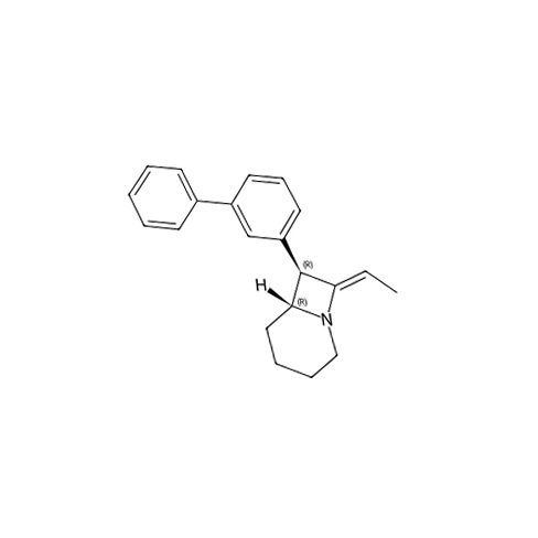 CC=C1[C@H](c2cccc(-c3ccccc3)c2)[C@H]2CCCCN12